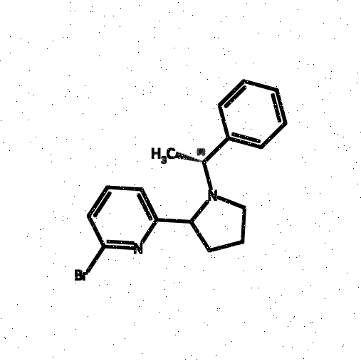 C[C@H](c1ccccc1)N1CCCC1c1cccc(Br)n1